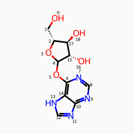 OC[C@H]1OC(Oc2ncnc3nc[nH]c23)[C@@H](O)[C@@H]1O